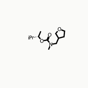 CC(C)[C@H](C)OC(=O)N(C)CC1CCOC1